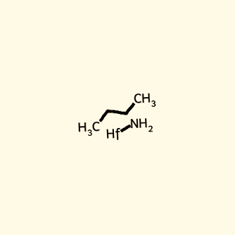 CCCC.[NH2][Hf]